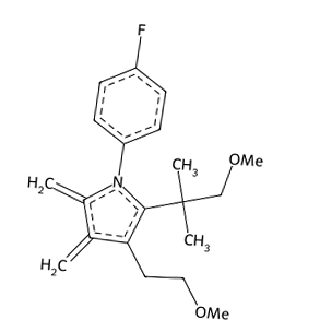 C=c1c(CCOC)c(C(C)(C)COC)n(-c2ccc(F)cc2)c1=C